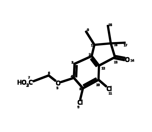 CC1c2cc(OCC(=O)O)c(Cl)c(Cl)c2C(=O)C1(C)C